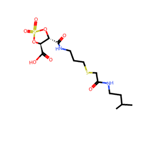 CC(C)CCNC(=O)CSCCCNC(=O)[C@H]1OS(=O)(=O)O[C@@H]1C(=O)O